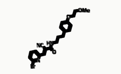 COCCOc1ccc(CCCNC(=O)/C(C#N)=C/c2cccc(Br)n2)cc1